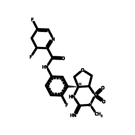 CN1C(=N)N[C@@]2(c3cc(NC(=O)C4=NC=C(F)CC4F)ccc3F)COCC2S1(=O)=O